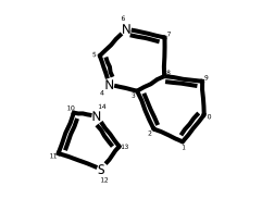 c1ccc2ncncc2c1.c1cscn1